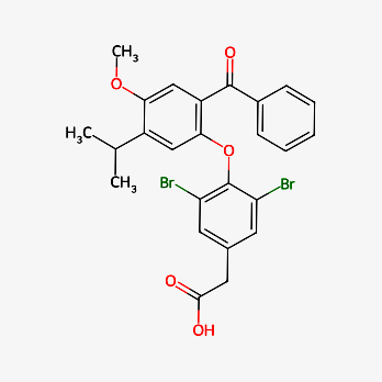 COc1cc(C(=O)c2ccccc2)c(Oc2c(Br)cc(CC(=O)O)cc2Br)cc1C(C)C